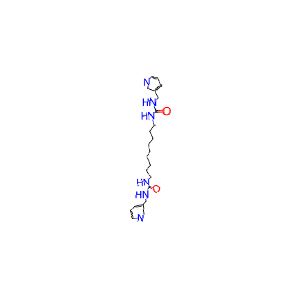 O=C(NCCCCCCCCCNC(=O)NCc1cccnc1)NCc1cccnc1